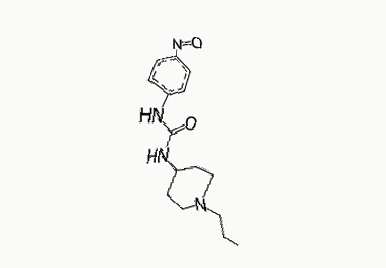 CCCN1CCC(NC(=O)Nc2ccc(N=O)cc2)CC1